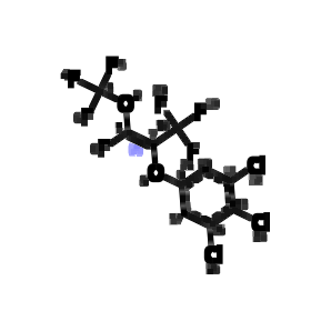 F/C(OC(F)(F)F)=C(\Oc1cc(Cl)c(Cl)c(Cl)c1)C(F)(F)F